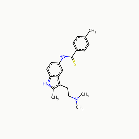 Cc1ccc(C(=S)Nc2ccc3[nH]c(C)c(CCN(C)C)c3c2)cc1